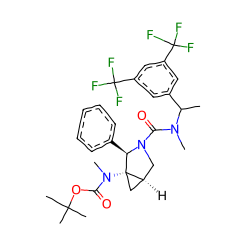 CC(c1cc(C(F)(F)F)cc(C(F)(F)F)c1)N(C)C(=O)N1C[C@H]2C[C@@]2(N(C)C(=O)OC(C)(C)C)[C@H]1c1ccccc1